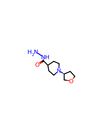 NNC(=O)C1CCN([C@H]2CCOC2)CC1